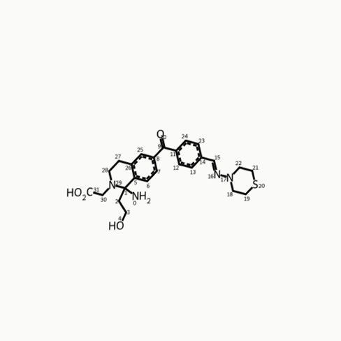 NC1(CCO)c2ccc(C(=O)c3ccc(C=NN4CCSCC4)cc3)cc2CCN1CC(=O)O